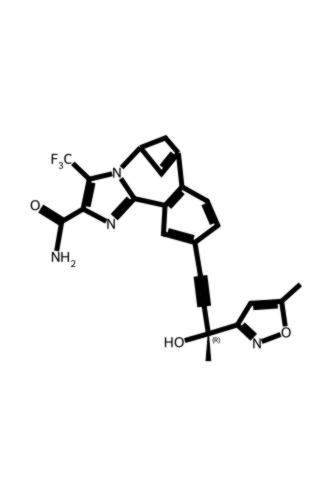 Cc1cc([C@](C)(O)C#Cc2ccc3c(c2)-c2nc(C(N)=O)c(C(F)(F)F)n2C2C=C3C2)no1